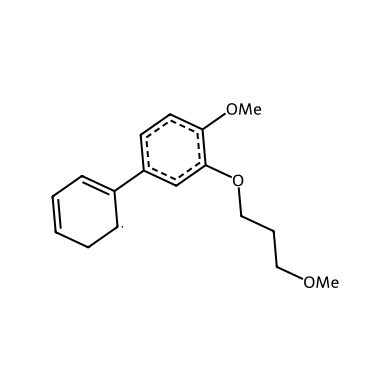 COCCCOc1cc(C2=CC=CC[CH]2)ccc1OC